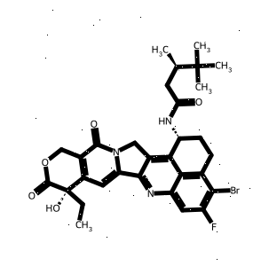 CC[C@@]1(O)C(=O)OCc2c1cc1n(c2=O)Cc2c-1nc1cc(F)c(Br)c3c1c2[C@H](NC(=O)C[C@@H](C)C(C)(C)C)CC3